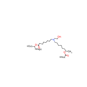 CCCCCCCCC(CCCCCCC)OC(=O)CCCCCCCN(CCO)CCCCCCC(C)OC(=O)CCCCCC